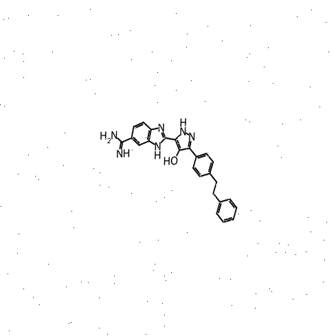 N=C(N)c1ccc2nc(-c3[nH]nc(-c4ccc(CCc5ccccc5)cc4)c3O)[nH]c2c1